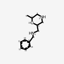 CC1CNCC(CNCc2ccccc2)O1